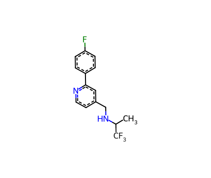 CC(NCc1ccnc(-c2ccc(F)cc2)c1)C(F)(F)F